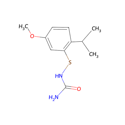 COc1ccc(C(C)C)c(SNC(N)=O)c1